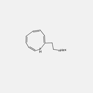 CCCCCCCCc1ccccccc[pH]1